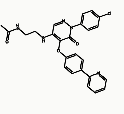 CC(=O)NCCNc1cnn(-c2ccc(Cl)cc2)c(=O)c1Oc1ccc(-c2ccccn2)cc1